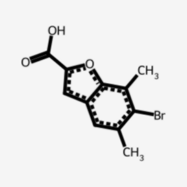 Cc1cc2cc(C(=O)O)oc2c(C)c1Br